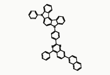 c1ccc(-c2nc(-c3ccc(-n4c5ccccc5c5c6c7ccccc7n(-c7ccccc7)c6ccc54)cc3)nc3cc(-c4ccc5ccccc5c4)ccc23)cc1